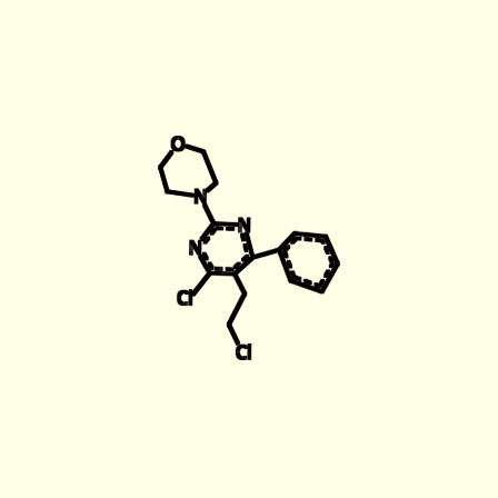 ClCCc1c(Cl)nc(N2CCOCC2)nc1-c1ccccc1